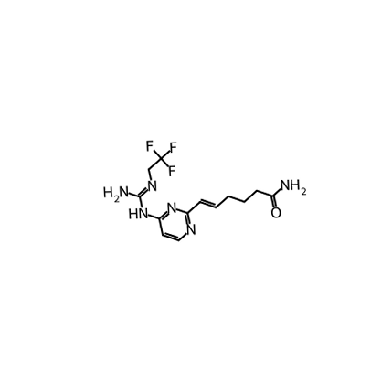 NC(=O)CCCC=Cc1nccc(NC(N)=NCC(F)(F)F)n1